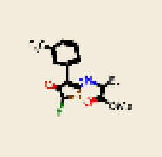 CCC(NC1=C(c2cccc(C(F)(F)F)c2)C(=O)C(F)S1)C(=O)OC